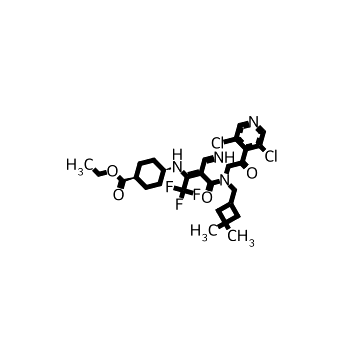 CCOC(=O)[C@H]1CC[C@H](N/C(=C(\C=N)C(=O)N(CC(=O)c2c(Cl)cncc2Cl)CC2CC(C)(C)C2)C(F)(F)F)CC1